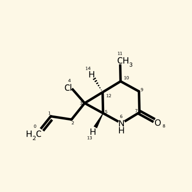 C=CCC1(Cl)[C@H]2NC(=O)CC(C)[C@@H]21